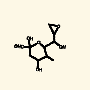 CC1C(O)CC(O)(C=O)OC1C(O)C1CO1